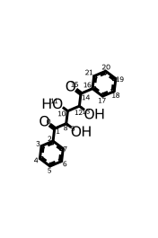 O=C(c1ccccc1)C(O)C(O)C(O)C(=O)c1ccccc1